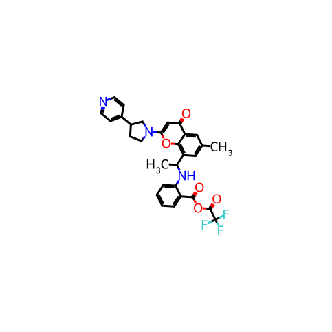 Cc1cc(C(C)Nc2ccccc2C(=O)OC(=O)C(F)(F)F)c2oc(N3CCC(c4ccncc4)C3)cc(=O)c2c1